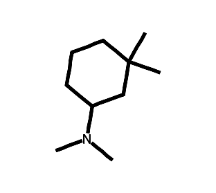 CN(C)C1CCCC(C)(C)C1